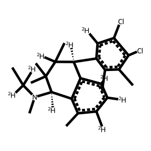 [2H]c1c([2H])c(C)c2c(c1[2H])[C@]([2H])(c1c([2H])c(Cl)c(Cl)c(C)c1C)C([2H])(C)C(C)(C)[C@]2([2H])N(C)C([2H])([2H])C